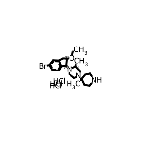 CCO[C@H]1Cc2cc(Br)ccc2[C@H]1N1CCN(C2(C)CCNCC2)C[C@@H]1C.Cl.Cl.Cl